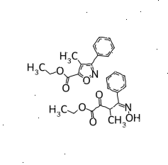 CCOC(=O)C(=O)C(C)C(=NO)c1ccccc1.CCOC(=O)c1onc(-c2ccccc2)c1C